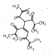 C=C(C)C(=O)C=C([C](C(=O)C(=C)C)C(=O)C(=C)C)C(=O)C(=C)C